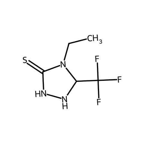 CCN1C(=S)NNC1C(F)(F)F